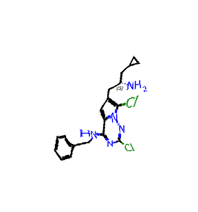 N[C@H](Cc1cc2c(NCc3ccccc3)nc(Cl)nn2c1Cl)CC1CC1